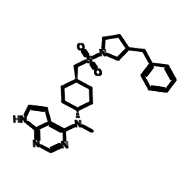 CN(c1ncnc2[nH]ccc12)[C@H]1CC[C@H](CS(=O)(=O)N2CCC(Cc3ccccc3)C2)CC1